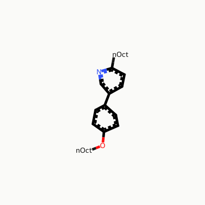 CCCCCCCCOc1ccc(-c2ccc(CCCCCCCC)nc2)cc1